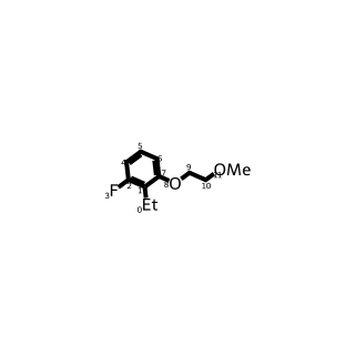 CCc1c(F)cccc1OCCOC